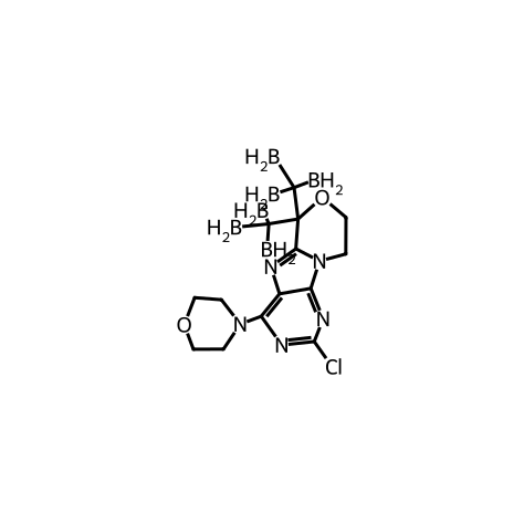 BC(B)(B)C1(C(B)(B)B)OCCn2c1nc1c(N3CCOCC3)nc(Cl)nc12